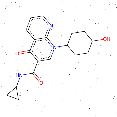 O=C(NC1CC1)c1cn(C2CCC(O)CC2)c2ncccc2c1=O